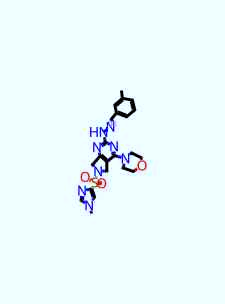 Cc1cccc(/C=N/Nc2nc3c(c(N4CCOCC4)n2)CN(S(=O)(=O)c2cn(C)cn2)C3)c1